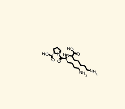 NCCCCCC(N[C@@H](CCCCN)C(=O)N1CCC[C@H]1C(=O)O)C(=O)O